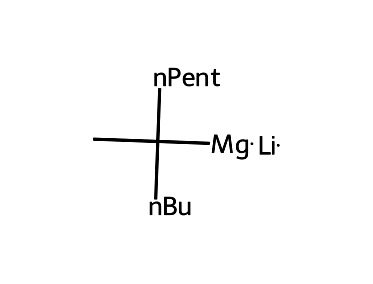 CCCCC[C](C)([Mg])CCCC.[Li]